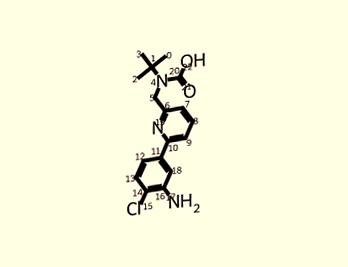 CC(C)(C)N(Cc1cccc(-c2ccc(Cl)c(N)c2)n1)C(=O)O